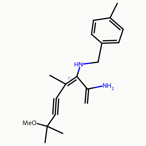 C=C(N)/C(NCc1ccc(C)cc1)=C(/C)C#CC(C)(C)OC